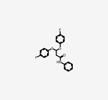 O=C(CC(Sc1ccc(F)cc1)Sc1ccc(F)cc1)Nc1ccccc1